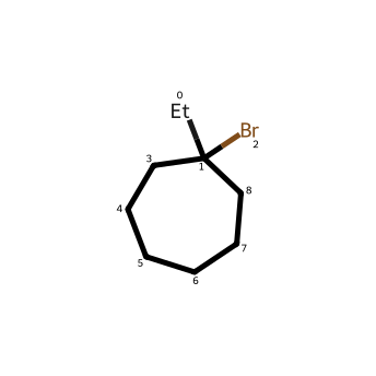 CCC1(Br)CCCCCC1